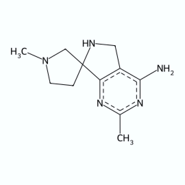 Cc1nc(N)c2c(n1)C1(CCN(C)C1)NC2